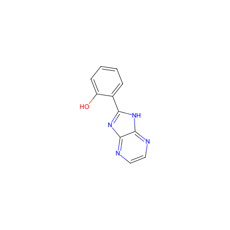 Oc1ccccc1-c1nc2nccnc2[nH]1